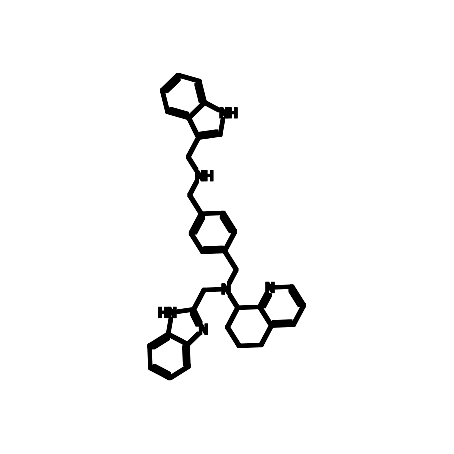 c1cnc2c(c1)CCCC2N(Cc1ccc(CNCc2c[nH]c3ccccc23)cc1)Cc1nc2ccccc2[nH]1